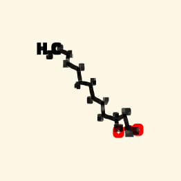 CCCCCCCCCC1CC(=O)O1